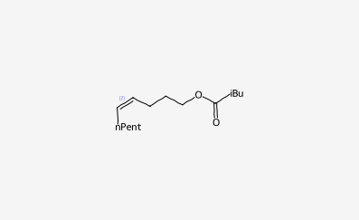 CCCCC/C=C\CCCOC(=O)C(C)CC